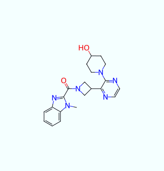 Cn1c(C(=O)N2CC(c3nccnc3N3CCC(O)CC3)C2)nc2ccccc21